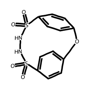 O=S1(=O)NNS(=O)(=O)c2ccc(cc2)Oc2ccc1cc2